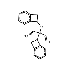 C=C[Si](C=C)(OC1Cc2ccccc21)C1Cc2ccccc21